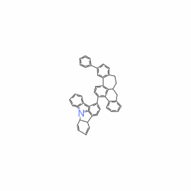 C1=CC2c3ccc(-c4ccc5c6c4-c4ccccc4CC6CCc4ccc(-c6ccccc6)cc4-5)c4c5ccccc5n(c34)C2C=C1